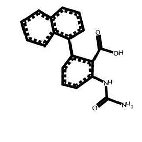 NC(=O)Nc1cccc(-c2cccc3ccccc23)c1C(=O)O